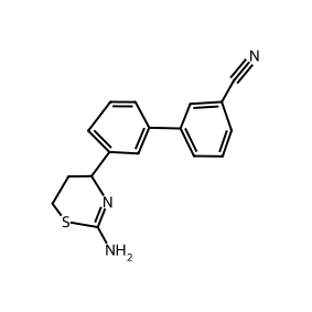 N#Cc1cccc(-c2cccc(C3CCSC(N)=N3)c2)c1